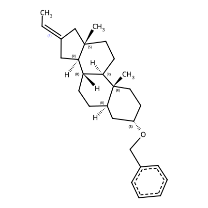 C/C=C1/C[C@@H]2[C@H]3CC[C@@H]4C[C@@H](OCc5ccccc5)CC[C@@]4(C)[C@@H]3CC[C@@]2(C)C1